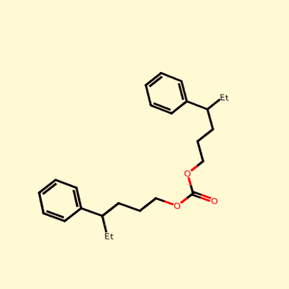 CCC(CCCOC(=O)OCCCC(CC)c1ccccc1)c1ccccc1